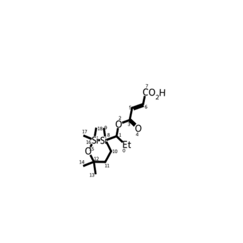 CCC(OC(=O)C=CC(=O)O)[Si]1(C)CCC(C)(C)O[Si]1(C)C